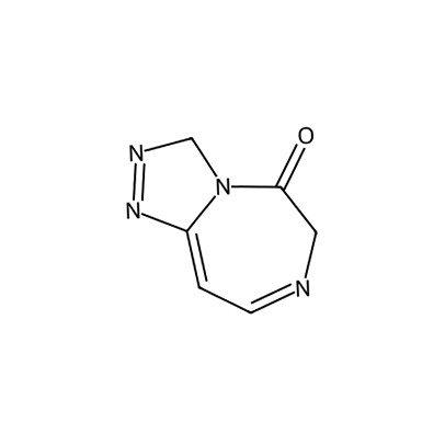 O=C1CN=CC=C2N=NCN12